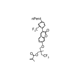 C=C(C)C(=O)OCC(C)(COc1ccc2cc(-c3ccc(CCCCC)cc3C(F)(F)F)c(=O)oc2c1)CC(F)(F)F